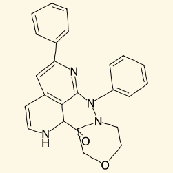 O=CC1NC=Cc2cc(-c3ccccc3)nc(N(c3ccccc3)N3CCOCC3)c21